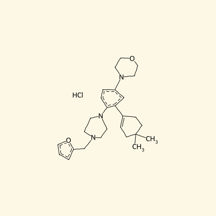 CC1(C)CC=C(c2cc(N3CCOCC3)ccc2N2CCN(Cc3ccco3)CC2)CC1.Cl